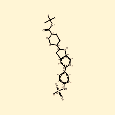 CC(C)(C)OC(=O)N1CCC(C2Cc3cc(-c4ccc(NS(C)(=O)=O)cc4)ncc3O2)CC1